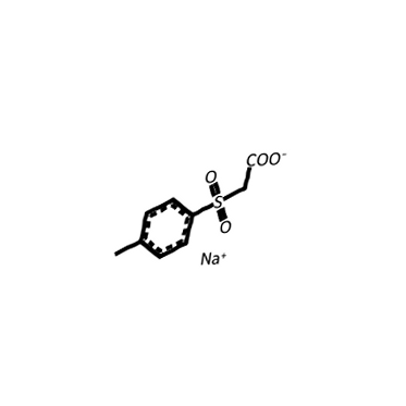 Cc1ccc(S(=O)(=O)CC(=O)[O-])cc1.[Na+]